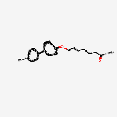 CNC(=O)CCCCCCOc1ccc(-c2ccc(C#N)cc2)cc1